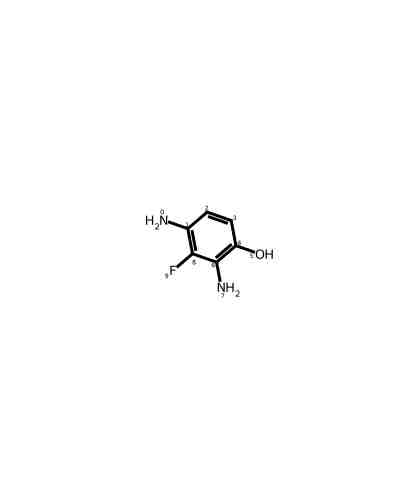 Nc1ccc(O)c(N)c1F